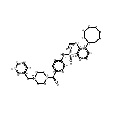 C/C=N\c1c(C2CCCCCCC2)cccc1S(=O)(=O)Nc1ccc(C(=O)N2CCN(Cc3cccnc3)CC2)cc1